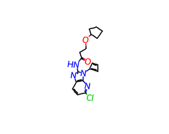 O=C(CCOC1CCCC1)Nc1nc2ccc(Cl)nc2n1C1=CC=C1